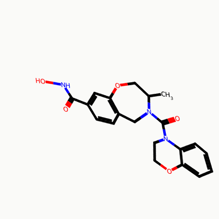 CC1COc2cc(C(=O)NO)ccc2CN1C(=O)N1CCOc2ccccc21